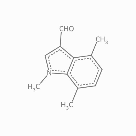 Cc1ccc(C)c2c1c(C=O)cn2C